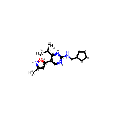 Cc1cc(-c2cnc(NCC3CCCC3)nc2C(C)C)on1